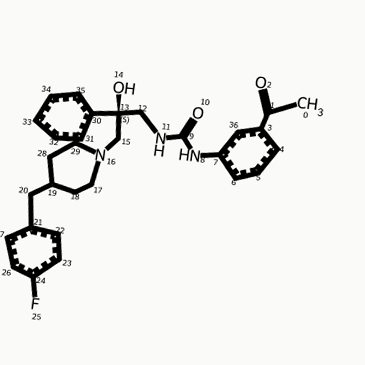 CC(=O)c1cccc(NC(=O)NC[C@](O)(CN2CCC(Cc3ccc(F)cc3)CC2)c2ccccc2)c1